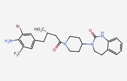 Nc1c(Br)cc(C[C@@H](CC(=O)N2CCC(N3CCc4ccccc4NC3=O)CC2)C(=O)O)cc1C(F)(F)F